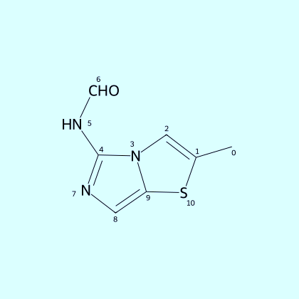 Cc1cn2c(NC=O)ncc2s1